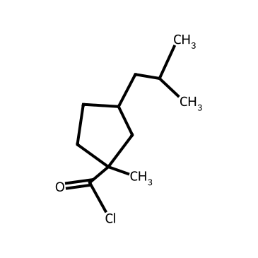 CC(C)CC1CCC(C)(C(=O)Cl)C1